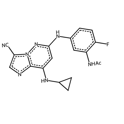 CC(=O)Nc1cc(Nc2cc(NC3CC3)c3ncc(C#N)n3n2)ccc1F